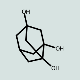 OC12CC3CC(O)(C1)C(O)(C3)C2